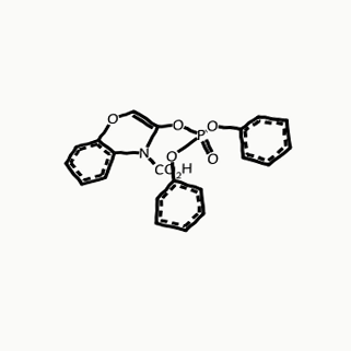 O=C(O)N1C(OP(=O)(Oc2ccccc2)Oc2ccccc2)=COc2ccccc21